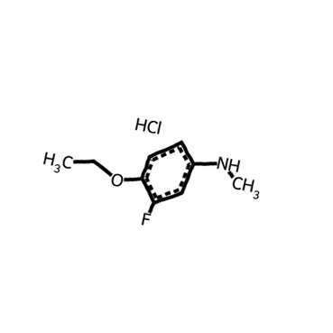 CCOc1ccc(NC)cc1F.Cl